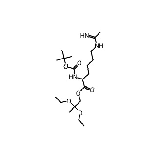 CCOC(C)(COC(=O)C(CCCCNC(C)=N)NC(=O)OC(C)(C)C)OCC